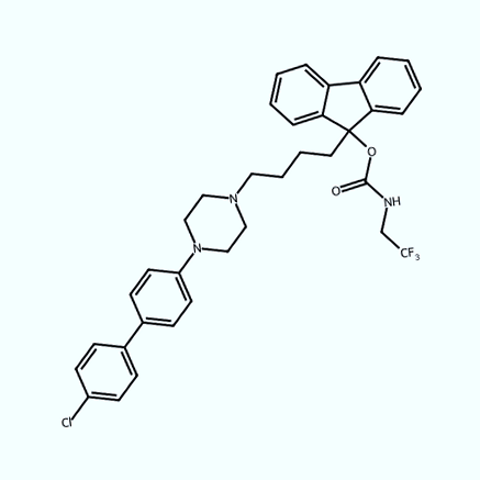 O=C(NCC(F)(F)F)OC1(CCCCN2CCN(c3ccc(-c4ccc(Cl)cc4)cc3)CC2)c2ccccc2-c2ccccc21